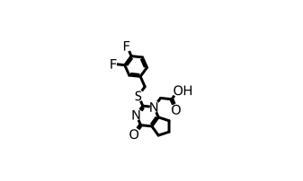 O=C(O)Cn1c(SCc2ccc(F)c(F)c2)nc(=O)c2c1CCC2